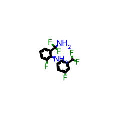 Fc1cccc(C(F)F)c1.Nc1c(F)cccc1C(N)(F)F